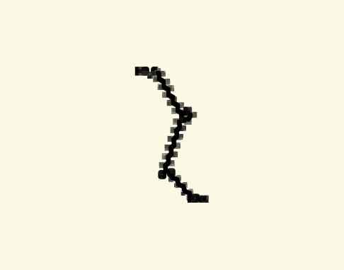 CCCCCCCCCCCCCCCCOC(=O)CCCCCCCCCCCN1CCN=C1CCCCCCCCCCC(=O)O